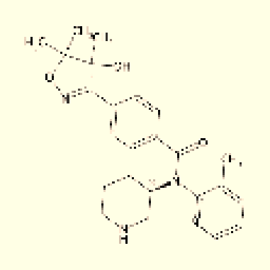 Cc1cccnc1N(C(=O)c1ccc(C2=NOC(C)(C)C2(C)O)cc1)[C@@H]1CCCNC1